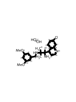 COc1cc(CNC(C)(C)C(N)(I)c2ccnc3cc(Cl)ccc23)cc(OC)c1.Cl.Cl